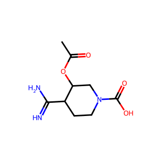 CC(=O)OC1CN(C(=O)O)CCC1C(=N)N